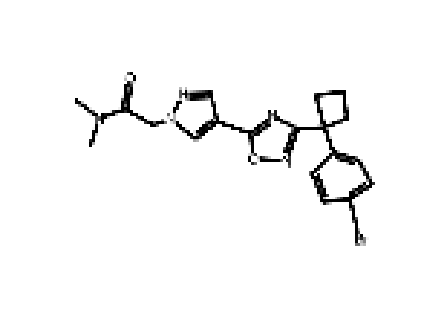 CN(C)C(=O)Cn1cc(-c2nc(C3(c4ccc(Br)cc4)CCC3)no2)cn1